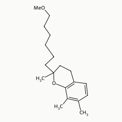 COCCCCCCC1(C)CCc2ccc(C)c(C)c2O1